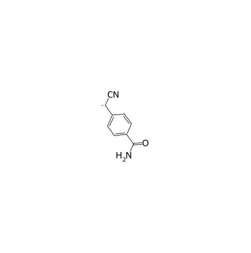 N#C[CH]c1ccc(C(N)=O)cc1